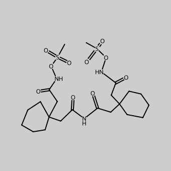 CS(=O)(=O)ONC(=O)CC1(CC(=O)NC(=O)CC2(CC(=O)NOS(C)(=O)=O)CCCCC2)CCCCC1